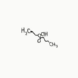 C=CCOC(=O)CCCC.Cl